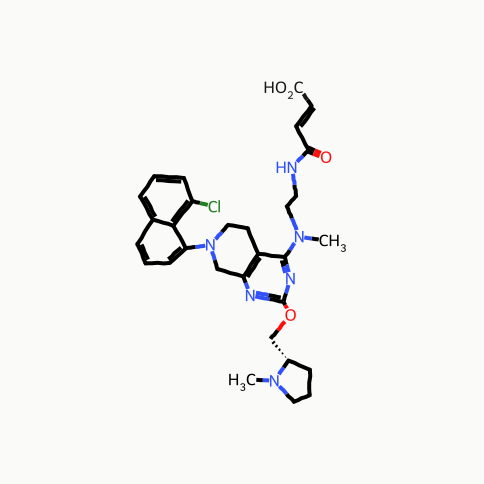 CN(CCNC(=O)/C=C/C(=O)O)c1nc(OC[C@@H]2CCCN2C)nc2c1CCN(c1cccc3cccc(Cl)c13)C2